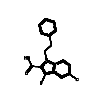 O=C(O)c1c(F)c2cc(Cl)ccc2n1CCc1ccccc1